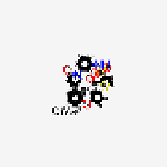 COC(=O)c1sccc1S(=O)(=O)Nc1cccc(N2CC(c3ccc(OC)c(OC4CCCC4)c3)CC2=O)c1